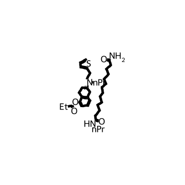 CCCN(CCc1cccs1)[C@@H]1CCc2c(cccc2OC(=O)CC)C1.CCCNC(=O)CCCCCCCCCCCCC(N)=O